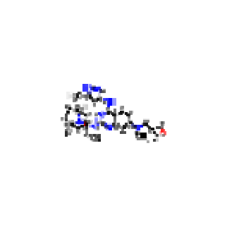 Cc1cc(Nc2nc(N[C@@H]3C[C@H]4CC[C@@H](C3)N4CCC#N)nc3cc(N(C)CC4COC4)ccc23)n[nH]1